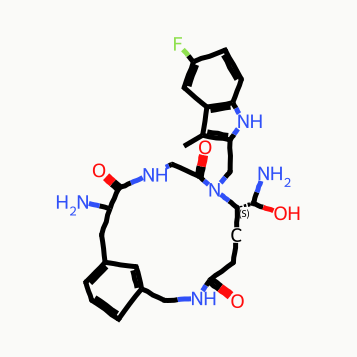 Cc1c(CN2C(=O)CNC(=O)C(N)Cc3cccc(c3)CNC(=O)CC[C@H]2C(N)O)[nH]c2ccc(F)cc12